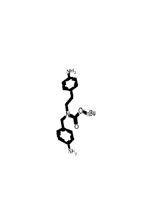 CCCCOC(=O)N(CCc1ccc(N)cc1)Cc1ccc(N)cc1